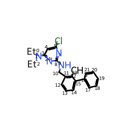 CCN(CC)c1cc(Cl)nc(NCc2cccc(-c3ccccc3)c2C)n1